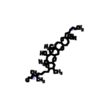 C=C/C=C\CCC1OC2CCC3(C)OC4C(O)CC5(C)OC(CCC/C=C(C)/C(C)=C/C=O)C(C)CC5OC4CC3OC2CCC1(C)O